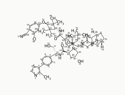 Cc1ncsc1-c1ccc([C@H](CO)NC(=O)[C@@H]2C[C@@H](O)CN2C(=O)[C@@H](NC(=O)CN2[C@@H]3CC[C@@H]2CN(CCCc2ccc(C(=O)N[C@H]4C(C)(C)[C@H](Oc5ccc(C#N)c(Cl)c5)C4(C)C)cc2)C3)C(C)(C)C)cc1